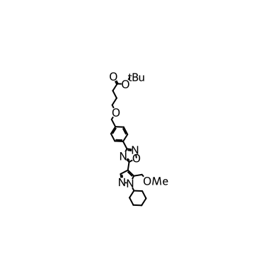 COCc1c(-c2nc(-c3ccc(COCCCC(=O)OC(C)(C)C)cc3)no2)cnn1C1CCCCC1